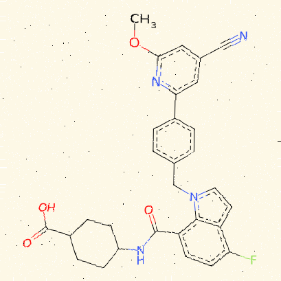 COc1cc(C#N)cc(-c2ccc(Cn3ccc4c(F)ccc(C(=O)NC5CCC(C(=O)O)CC5)c43)cc2)n1